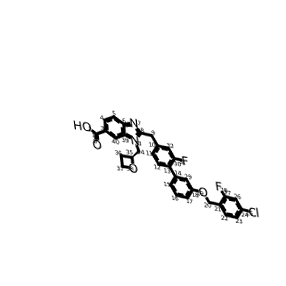 O=C(O)c1ccc2nc(Cc3ccc(-c4cccc(OCc5ccc(Cl)cc5F)c4)c(F)c3)n(C[C@@H]3CCO3)c2c1